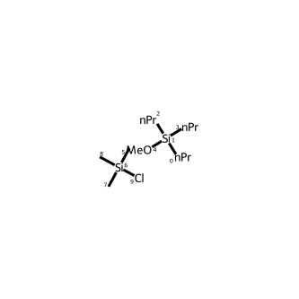 CCC[Si](CCC)(CCC)OC.C[Si](C)(C)Cl